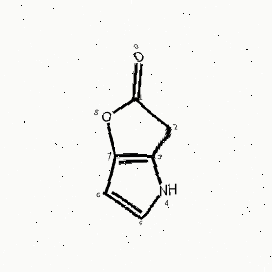 O=C1Cc2[nH]ccc2O1